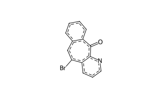 O=c1c2ccccc2cc(Br)c2cccnc12